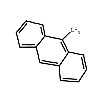 FC(F)(F)c1c2ccccc2cc2ccccc12